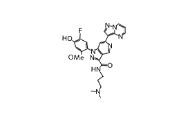 COc1cc(O)c(F)cc1-n1nc(C(=O)NCCCN(C)C)c2cnc(-c3cnn4cccnc34)cc21